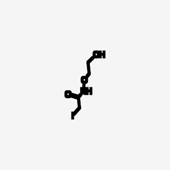 O=C(CI)NOCCO